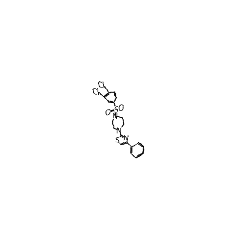 O=S(=O)(c1ccc(Cl)c(Cl)c1)N1CCN(c2nc(-c3ccccc3)cs2)CC1